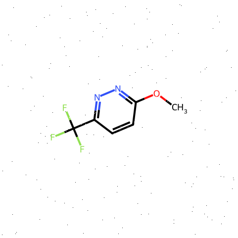 COc1ccc(C(F)(F)F)nn1